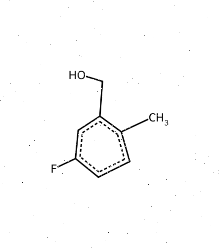 Cc1ccc(F)cc1CO